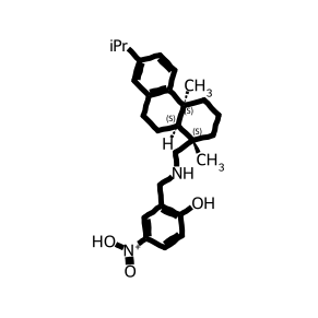 CC(C)c1ccc2c(c1)CC[C@@H]1[C@@](C)(CNCc3cc([N+](=O)O)ccc3O)CCC[C@]21C